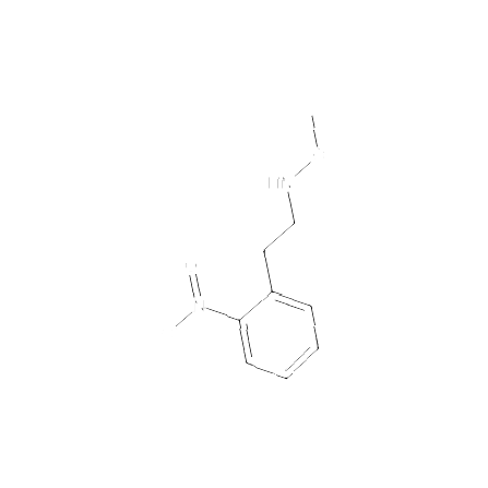 CONCCc1ccccc1[N+](=O)[O-]